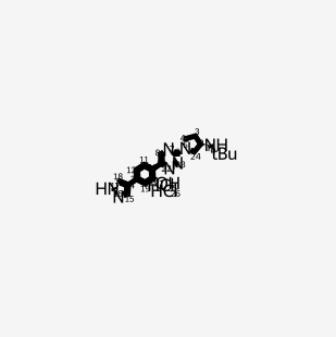 CC(C)(C)N[C@H]1CCN(c2ncc(-c3ccc(-c4cn[nH]c4)cc3O)nn2)C1.Cl.Cl